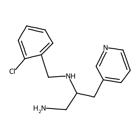 NCC(Cc1cccnc1)NCc1ccccc1Cl